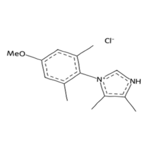 COc1cc(C)c(-[n+]2c[nH]c(C)c2C)c(C)c1.[Cl-]